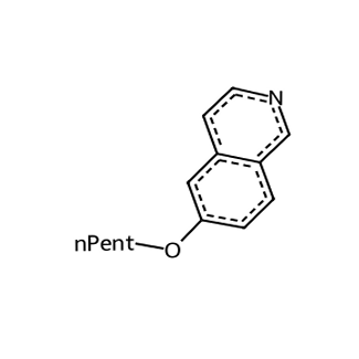 [CH2]CCCCOc1ccc2cnccc2c1